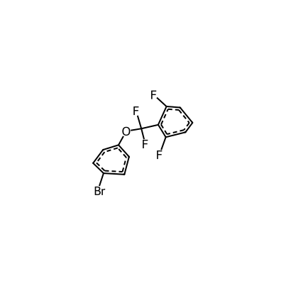 Fc1cccc(F)c1C(F)(F)Oc1ccc(Br)cc1